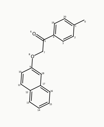 Cc1ccc(C(=O)COc2ccc3ccccc3c2)cc1